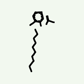 C=C(C)C.CCCCCCCCCC.Cc1ccccc1C